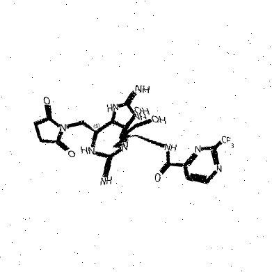 N=C1NC2[C@H](CN3C(=O)CCC3=O)NC(=N)N3C[C@H](NC(=O)c4ccnc(C(F)(F)F)n4)C(O)(O)C23N1